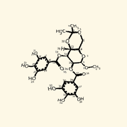 CO[C@@H]1OC2COC(C)(C)O[C@H]2[C@H](OC(=O)c2cc(O)c(O)c(O)c2)C1OC(=O)c1cc(O)c(O)c(O)c1